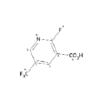 O=C(O)c1cc(C(F)(F)F)cnc1F